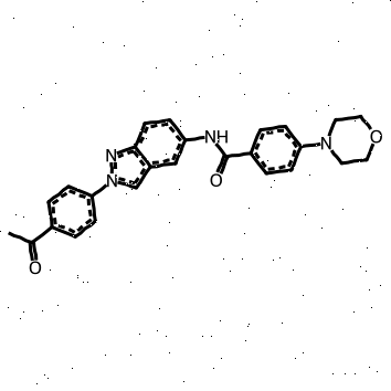 CC(=O)c1ccc(-n2cc3cc(NC(=O)c4ccc(N5CCOCC5)cc4)ccc3n2)cc1